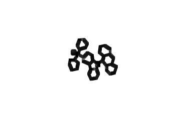 O=P(c1ccccc1)(c1ccccc1)c1ccc2c(c1)c1ccccc1n2-c1c2ccccc2cc2ccccc12